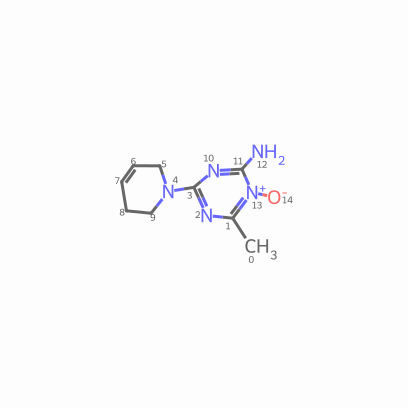 Cc1nc(N2CC=CCC2)nc(N)[n+]1[O-]